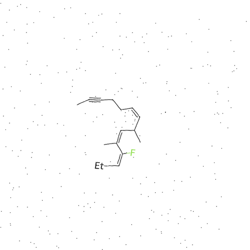 CC#CCC/C=C\C(C)/C=C(C)\C(F)=C/CC